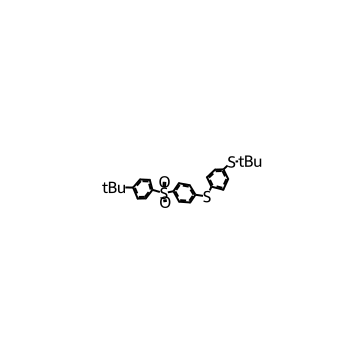 CC(C)(C)Sc1ccc(Sc2ccc(S(=O)(=O)c3ccc(C(C)(C)C)cc3)cc2)cc1